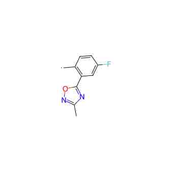 [CH2]c1ccc(F)cc1-c1nc(C)no1